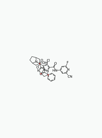 N#Cc1cc(NC(=O)c2c(Cl)c(S(=O)(=O)N3C4CCC3CC(O)(c3cc(-c5ccccc5)on3)C4)c3n2CCC3)cc(F)n1